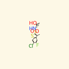 Cc1c(S(=O)(=O)NC[C@H](C)O)sc2cc(Cl)c(F)cc12